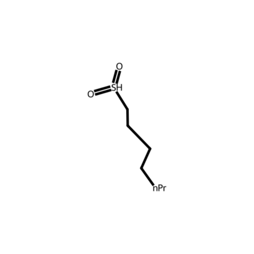 CCCCCCC[SH](=O)=O